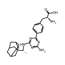 C[C@@H](Nc1nc(N)nc(-c2ccc(C[C@H](N)C(=O)O)cc2)n1)C12CC3CC(CC(C3)C1)C2